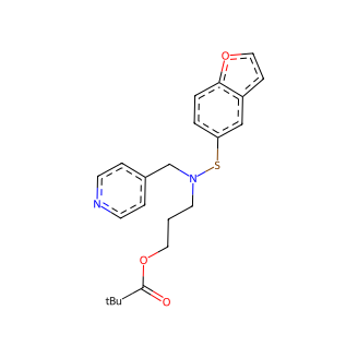 CC(C)(C)C(=O)OCCCN(Cc1ccncc1)Sc1ccc2occc2c1